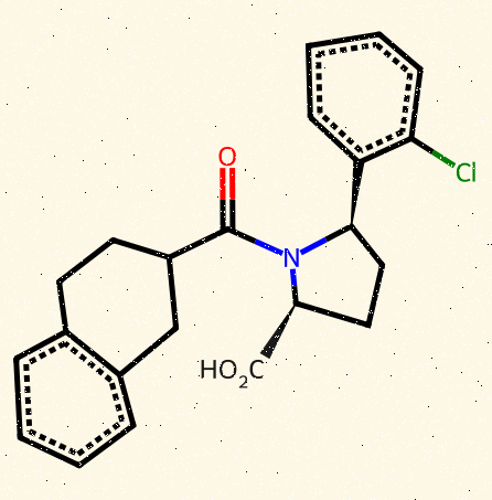 O=C(O)[C@@H]1CC[C@H](c2ccccc2Cl)N1C(=O)C1CCc2ccccc2C1